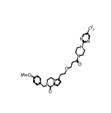 COc1ccc(CN2CCn3c(CCOCCC(=O)N4CCN(c5ncc(C(F)(F)F)cn5)CC4)ccc3C2=O)cc1